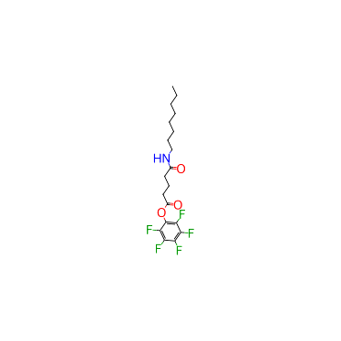 CCCCCCCCNC(=O)CCCC(=O)Oc1c(F)c(F)c(F)c(F)c1F